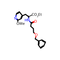 CCOC(=O)[C@H](Cc1ccnc(OC)c1)NC(=O)CCCOCc1ccccc1